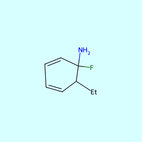 CCC1C=CC=CC1(N)F